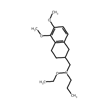 CCCN(CC1CCc2c(ccc(OC)c2OC)C1)OCC